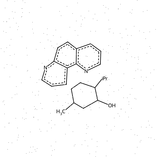 CC1CCC(C(C)C)C(O)C1.c1cnc2c(c1)ccc1ncccc12